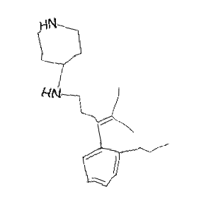 CCCc1ccccc1C(CCNC1CCNCC1)=C(C)C